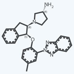 Cc1ccc(O[C@H]2c3ccccc3C[C@H]2N2CC[C@@H](N)C2)c(-n2nc3ccccc3n2)c1